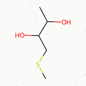 CSCC(O)C(C)O